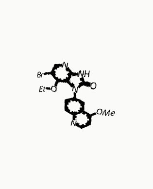 CCOc1c(Br)cnc2[nH]c(=O)n(-c3ccc4nccc(OC)c4c3)c12